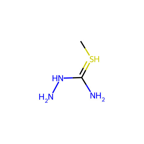 C[SH]=C(N)NN